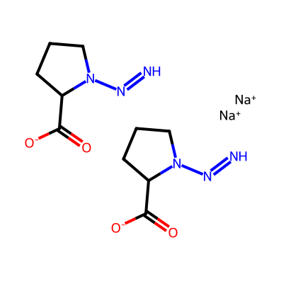 N=NN1CCCC1C(=O)[O-].N=NN1CCCC1C(=O)[O-].[Na+].[Na+]